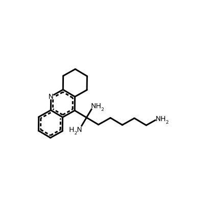 NCCCCCC(N)(N)c1c2c(nc3ccccc13)CCCC2